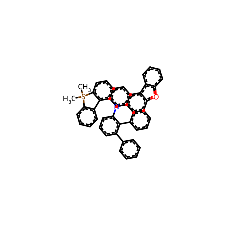 CS1(C)c2ccccc2-c2c(N(c3ccc4oc5ccccc5c4c3)c3cccc(-c4ccccc4)c3-c3ccccc3-c3ccccc3)cccc21